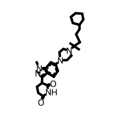 Cn1nc(C2CCC(=O)NC2=O)c2ccc(N3CCN(C(C)(C)CCCC4CCCCC4)CC3)cc21